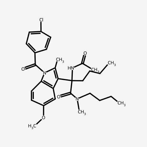 CCCCN(C)C(=O)C(CCCC)(NC(C)=O)c1c(C)n(C(=O)c2ccc(Cl)cc2)c2ccc(OC)cc12